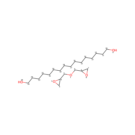 C(OCC1CO1)C1CO1.OCCCCCCCCCCCCCCCCO